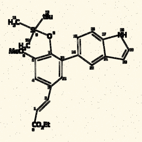 CCOC(=O)/C=C/c1cc(OC)c(O[Si](C)(C)C(C)(C)C)c(-c2ccc3[nH]ccc3c2)c1